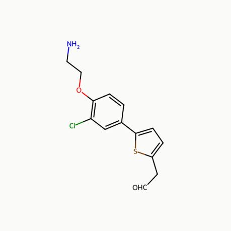 NCCOc1ccc(-c2ccc(CC=O)s2)cc1Cl